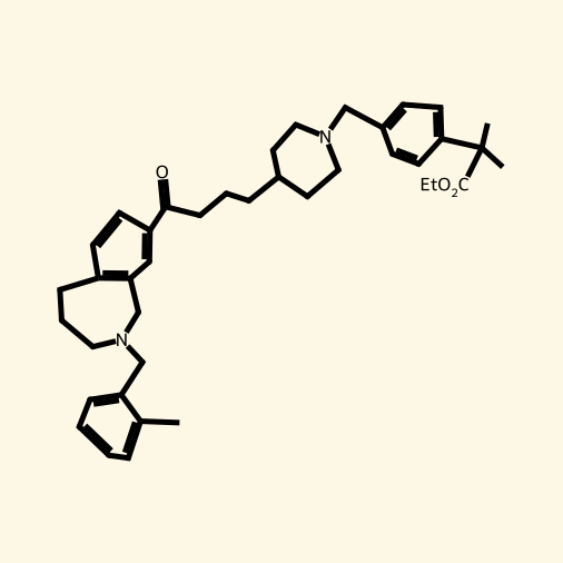 CCOC(=O)C(C)(C)c1ccc(CN2CCC(CCCC(=O)c3ccc4c(c3)CN(Cc3ccccc3C)CCC4)CC2)cc1